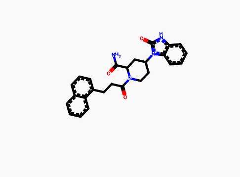 NC(=O)C1CC(n2c(=O)[nH]c3ccccc32)CCN1C(=O)[CH]Cc1cccc2ccccc12